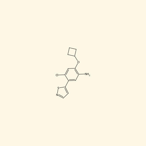 Nc1cc(-c2ccns2)c(Cl)cc1OC1CCC1